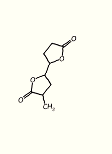 CC1CC(C2CCC(=O)O2)OC1=O